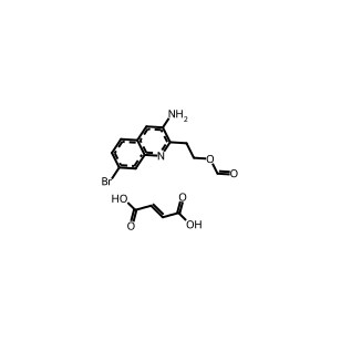 Nc1cc2ccc(Br)cc2nc1CCOC=O.O=C(O)/C=C/C(=O)O